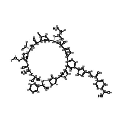 COCc1sc2nc1C(=O)N(N)CC(=O)N[C@@H]([C@@H](O)c1ccccc1)c1nc(cs1)-c1nc(cs1)-c1nc(-c3nc(N=NC(=O)c4ccc(C(=O)O)nc4)cs3)ccc1-c1nc(cs1)C(=O)N[C@@H](CC(=O)N(C)N)c1nc(c(C)s1)C(=O)N[C@H]2C(C)C